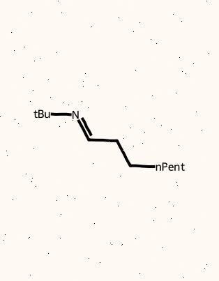 CCCCCCC/C=N/C(C)(C)C